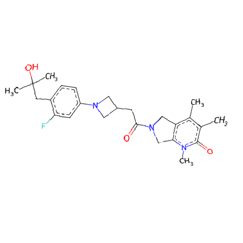 Cc1c2c(n(C)c(=O)c1C)CN(C(=O)CC1CN(c3ccc(CC(C)(C)O)c(F)c3)C1)C2